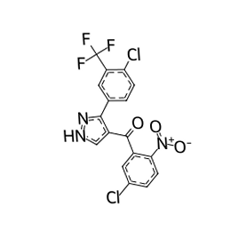 O=C(c1cc(Cl)ccc1[N+](=O)[O-])c1c[nH]nc1-c1ccc(Cl)c(C(F)(F)F)c1